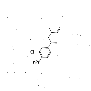 C=CC(C)CC(=C)c1ccc(CCC)c(Cl)c1